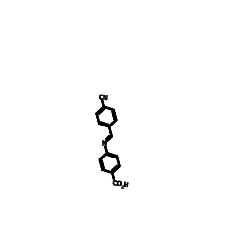 N#Cc1ccc(C=Nc2ccc(C(=O)O)cc2)cc1